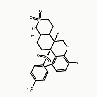 O=S1(=O)CCC2[C@@H](CC[C@@]3(S(=O)(=O)c4ccc(C(F)(F)F)cc4)c4c(F)ccc(F)c4OC[C@@H]23)N1